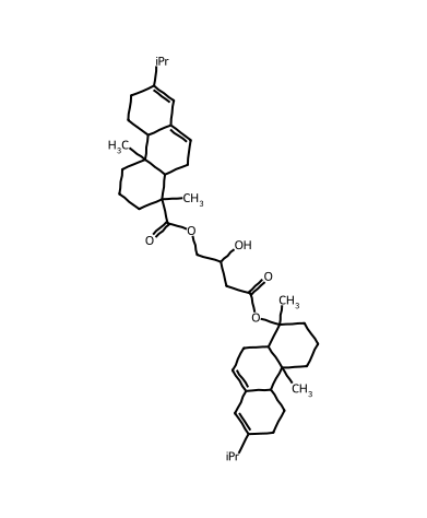 CC(C)C1=CC2=CCC3C(C)(OC(=O)CC(O)COC(=O)C4(C)CCCC5(C)C6CCC(C(C)C)=CC6=CCC45)CCCC3(C)C2CC1